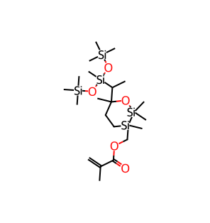 C=C(C)C(=O)OC[Si]1(C)CCC(C)(C(C)[Si](C)(O[Si](C)(C)C)O[Si](C)(C)C)O[Si]1(C)C